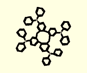 c1ccc(N(c2ccccc2)c2ccc3c(c2)Cc2cc(N(c4ccccc4)c4ccccc4)ccc2-c2ccc(N(c4ccccc4)c4ccccc4)cc2Cc2cc(N(c4ccccc4)c4ccccc4)ccc2-3)cc1